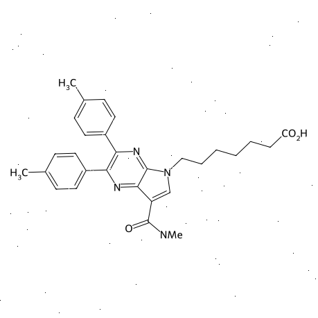 CNC(=O)c1cn(CCCCCCC(=O)O)c2nc(-c3ccc(C)cc3)c(-c3ccc(C)cc3)nc12